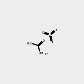 CC(=O)O.[Cr].[O]=[Cr](=[O])=[O]